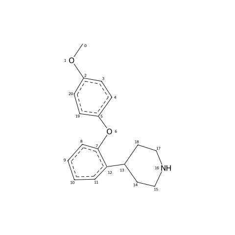 COc1ccc(Oc2ccccc2C2CCNCC2)cc1